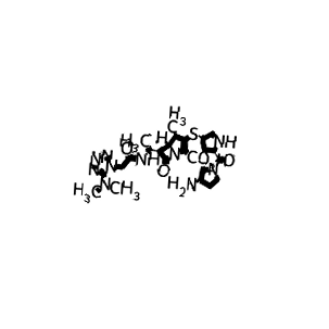 CC(NC(=O)Cn1nnnc1N(C)C)[C@H]1C(=O)N2C(C(=O)O)=C(S[C@@H]3CN[C@H](C(=O)N4CC[C@@H](N)C4)C3)[C@H](C)[C@H]12